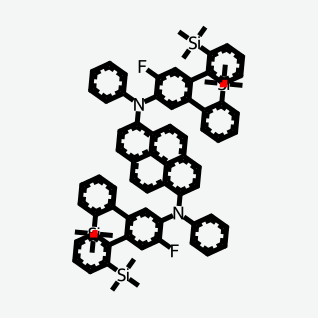 C[Si](C)(C)c1ccccc1-c1cc(F)c(N(c2ccccc2)c2ccc3ccc4c(N(c5ccccc5)c5cc(-c6ccccc6[Si](C)(C)C)c(-c6ccccc6[Si](C)(C)C)cc5F)ccc5ccc2c3c54)cc1-c1ccccc1[Si](C)(C)C